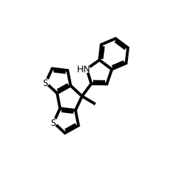 CC1(c2cc3ccccc3[nH]2)c2ccsc2-c2sccc21